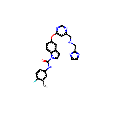 O=C(Nc1ccc(F)c(C(F)(F)F)c1)n1ccc2cc(Oc3cc(CNCc4ncc[nH]4)ncn3)ccc21